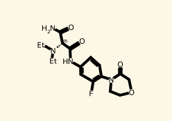 CCN(CC)[C@H](C(N)=O)C(=O)Nc1ccc(N2CCOCC2=O)c(F)c1